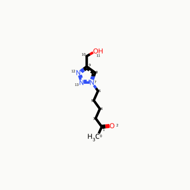 CC(=O)CCCCn1cc(CO)nn1